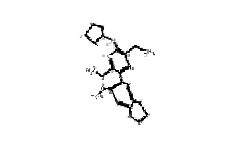 CCc1nc(-c2cc3c(cc2OC)CCCC3)c(CC)nc1NC1CCCC1